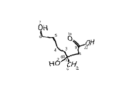 C[C@@](O)(CCCCO)CC(=O)O